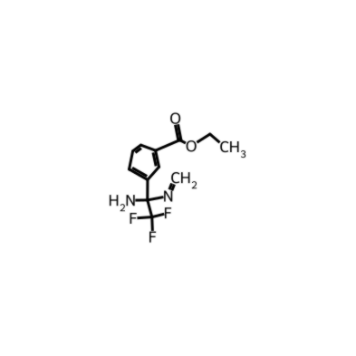 C=NC(N)(c1cccc(C(=O)OCC)c1)C(F)(F)F